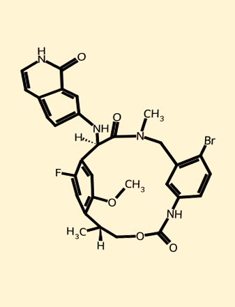 COc1cc2c(F)cc1[C@@H](C)COC(=O)Nc1ccc(Br)c(c1)CN(C)C(=O)[C@@H]2Nc1ccc2cc[nH]c(=O)c2c1